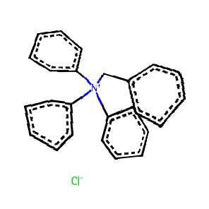 [Cl-].c1ccc(C[N+](c2ccccc2)(c2ccccc2)c2ccccc2)cc1